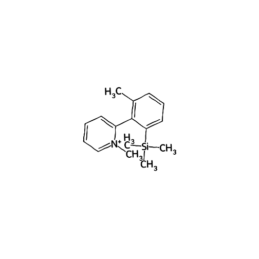 Cc1cccc([Si](C)(C)C)c1-c1cccc[n+]1C